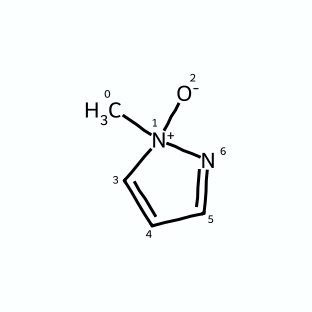 C[N+]1([O-])C=CC=N1